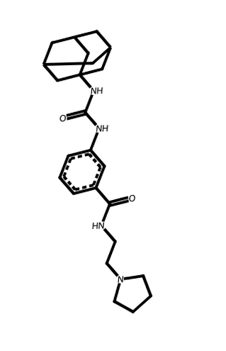 O=C(Nc1cccc(C(=O)NCCN2CCCC2)c1)NC12CC3CC(CC(C3)C1)C2